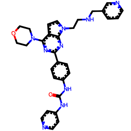 O=C(Nc1ccncc1)Nc1ccc(-c2nc(N3CCOCC3)c3ccn(CCNCc4cccnc4)c3n2)cc1